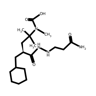 CN(C(=O)O)C(C)(C)C[C@H](CC1CCCCC1)C(=O)NNCCC(N)=O